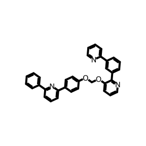 c1ccc(-c2cccc(-c3ccc(OCOc4cccnc4-c4cccc(-c5ccccn5)c4)cc3)n2)cc1